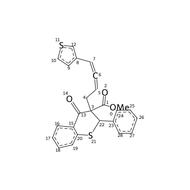 COC(=O)C1(CC=C=Cc2ccsc2)C(=O)c2ccccc2SC1c1ccccc1